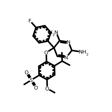 COc1cc(C(C)C)c(OC2(c3ccc(F)cc3)C=NC(N)N=C2N)cc1S(C)(=O)=O